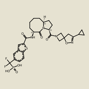 O=C(N[C@H]1CCCC[C@H]2CC[C@@H](C(=O)N3CC4(CC(C5CC5)=NO4)C3)N2C1=O)c1cc2cc(C(F)(F)P(=O)(O)O)ccc2s1